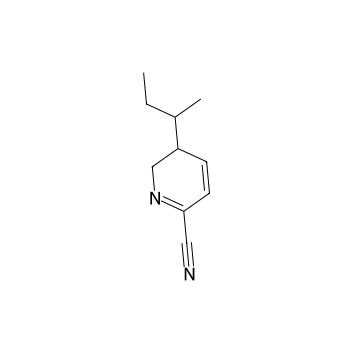 CCC(C)C1C=CC(C#N)=NC1